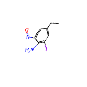 CCc1cc(I)c(N)c(N=O)c1